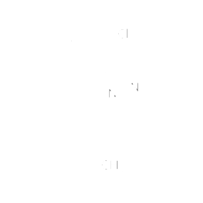 CCCCn1n[c]c(Cl)c1C1CCC1